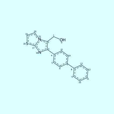 OCc1c(-c2ccc(-c3ccccc3)cc2)nc2sccn12